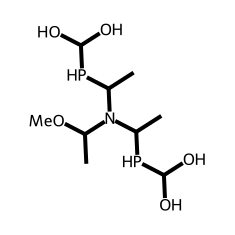 COC(C)N(C(C)PC(O)O)C(C)PC(O)O